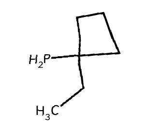 CCC1(P)CCC1